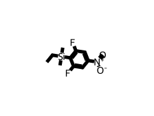 CC[Si](C)(C)c1c(F)cc([N+](=O)[O-])cc1F